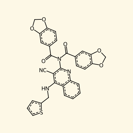 N#Cc1c(N(C(=O)c2ccc3c(c2)OCO3)C(=O)c2ccc3c(c2)OCO3)nc2ccccc2c1NCc1cccs1